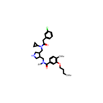 COCCCOc1cc(C(=O)N(CC2CNCC2CN(C(=O)Cc2cccc(Cl)c2)C2CC2)C(C)C)ccc1OC